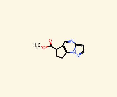 COC(=O)C1CCc2c1cnc1ccnn21